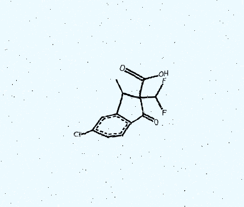 CC1c2cc(Cl)ccc2C(=O)C1(C(=O)O)C(F)F